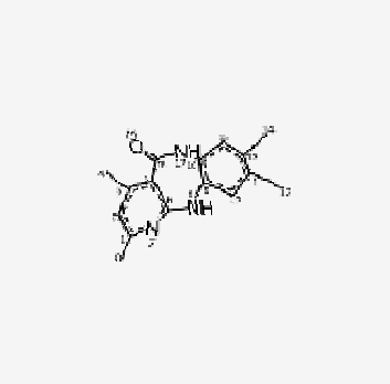 Cc1cc(C)c2c(n1)Nc1cc(C)c(C)cc1NC2=O